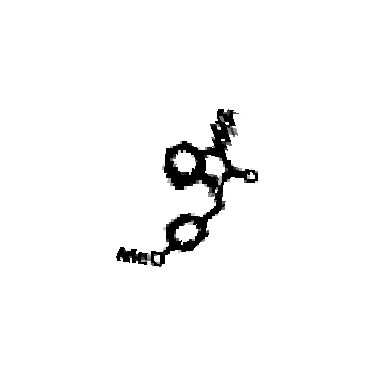 COc1ccc(CN2C(=O)C(=[N+]=[N-])c3ccccc32)cc1